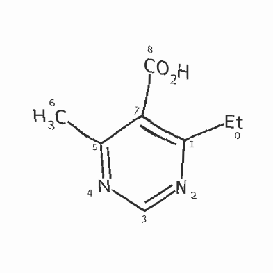 CCc1ncnc(C)c1C(=O)O